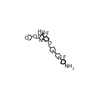 Nc1ccc(N2CCC(N3CCC(COc4cc(F)c5c(=O)[nH]c(COC6CCOCC6)nc5c4)CC3)CC2)c(F)c1